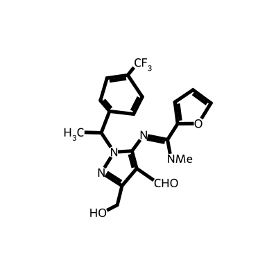 CN/C(=N\c1c(C=O)c(CO)nn1C(C)c1ccc(C(F)(F)F)cc1)c1ccco1